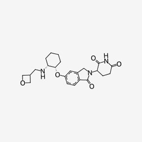 O=C1CCC(N2Cc3cc(O[C@H]4CCCC[C@H]4NCC4COC4)ccc3C2=O)C(=O)N1